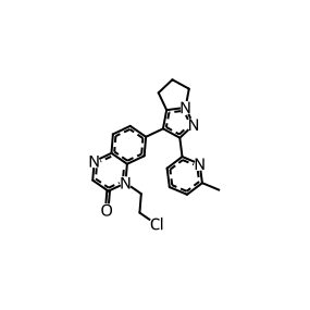 Cc1cccc(-c2nn3c(c2-c2ccc4ncc(=O)n(CCCl)c4c2)CCC3)n1